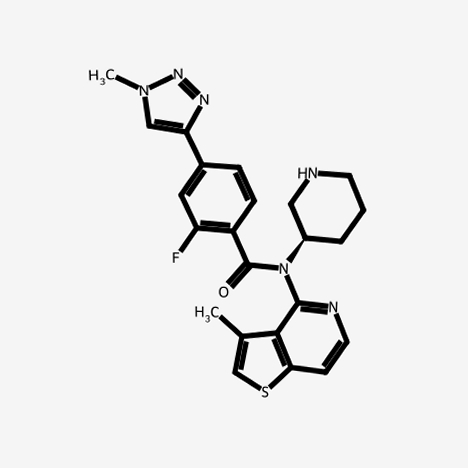 Cc1csc2ccnc(N(C(=O)c3ccc(-c4cn(C)nn4)cc3F)[C@@H]3CCCNC3)c12